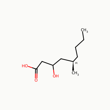 CCCC[C@@H](C)CC(O)CC(=O)O